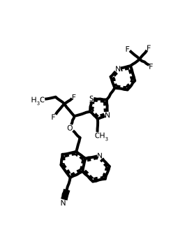 CCC(F)(F)C(OCc1ccc(C#N)c2cccnc12)c1sc(-c2ccc(C(F)(F)F)nc2)nc1C